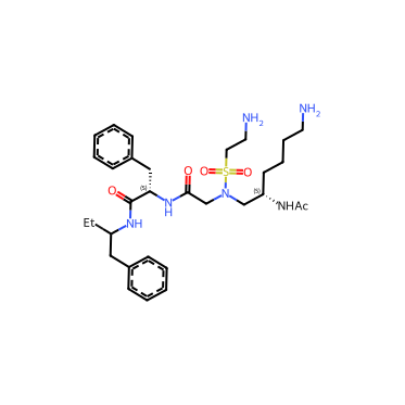 CCC(Cc1ccccc1)NC(=O)[C@H](Cc1ccccc1)NC(=O)CN(C[C@H](CCCCN)NC(C)=O)S(=O)(=O)CCN